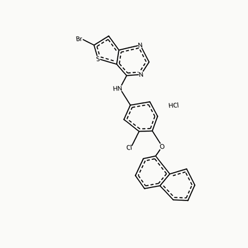 Cl.Clc1cc(Nc2ncnc3cc(Br)sc23)ccc1Oc1cccc2ccccc12